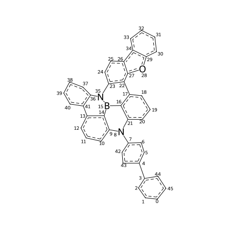 c1ccc(-c2ccc(N3c4cccc5c4B4c6c(cccc63)-c3c(ccc6c3oc3ccccc36)N4c3ccccc3-5)cc2)cc1